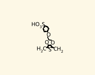 C=c1sc(=C)c2c1OCC(COc1ccc(S(=O)(=O)O)cc1)O2